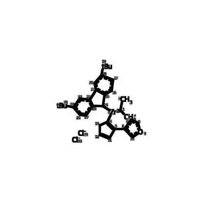 C[C](C)=[Zr+2]([C]1=C(c2ccoc2)C=CC1)[CH]1c2ccc(C(C)(C)C)cc2-c2cc(C(C)(C)C)ccc21.[Cl-].[Cl-]